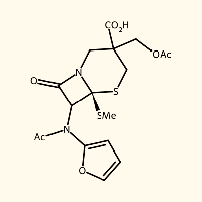 CS[C@]12SCC(COC(C)=O)(C(=O)O)CN1C(=O)C2N(C(C)=O)c1ccco1